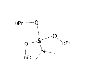 CCCO[Si](OCCC)(OCCC)N(C)C